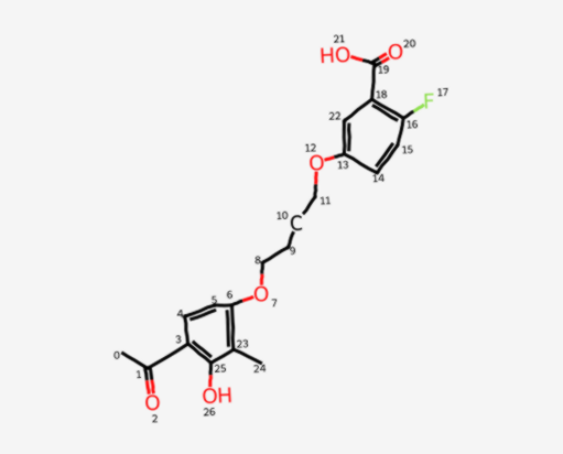 CC(=O)c1ccc(OCCCCOc2ccc(F)c(C(=O)O)c2)c(C)c1O